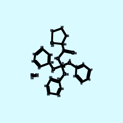 O=C([O][Sn]([O]c1ccccc1)([O]c1ccccc1)[O]c1ccccc1)C1CCCO1.[NaH]